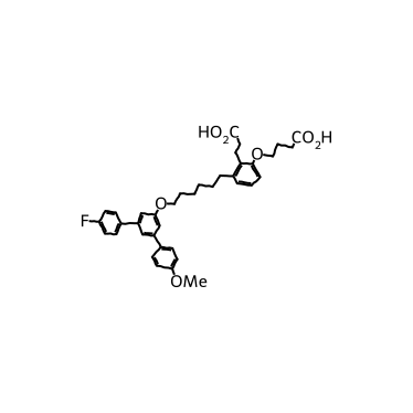 COc1ccc(-c2cc(OCCCCCCc3cccc(OCCCC(=O)O)c3CCC(=O)O)cc(-c3ccc(F)cc3)c2)cc1